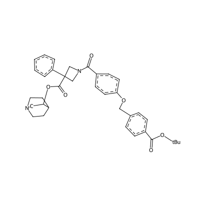 CC(C)(C)OC(=O)c1ccc(COc2ccc(C(=O)N3CC(C(=O)OC4CN5CCC4CC5)(c4ccccc4)C3)cc2)cc1